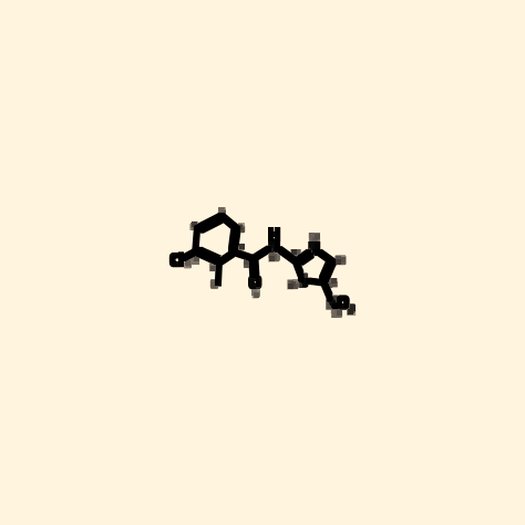 Cc1c(Cl)cccc1C(=O)Nc1ncc([N+](=O)[O-])s1